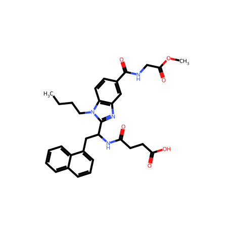 CCCCn1c(C(Cc2cccc3ccccc23)NC(=O)CCC(=O)O)nc2cc(C(=O)NCC(=O)OC)ccc21